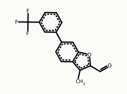 Cc1c(C=O)oc2cc(-c3cccc(C(F)(F)F)c3)ccc12